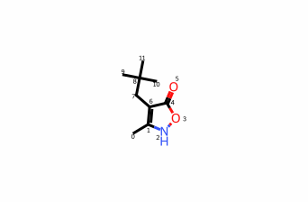 Cc1[nH]oc(=O)c1CC(C)(C)C